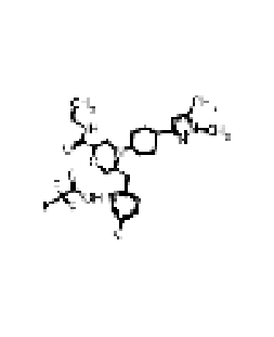 CCNC(=O)[C@H]1CN(C2CCC(c3cc(C)n(C)n3)CC2)[C@@H](Cc2ccc(Cl)cc2)CO1.O=C(O)C(F)(F)F